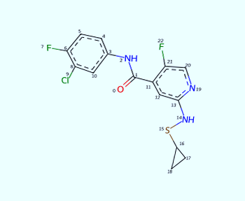 O=C(Nc1ccc(F)c(Cl)c1)c1cc(NSC2CC2)ncc1F